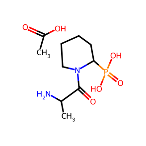 CC(=O)O.CC(N)C(=O)N1CCCCC1P(=O)(O)O